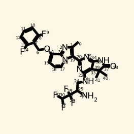 Cc1nc2c(OCc3c(F)cccc3F)cccn2c1-c1nc(NCC(N)C(F)(F)C(F)F)c2c(n1)NC(=O)C2(C)C